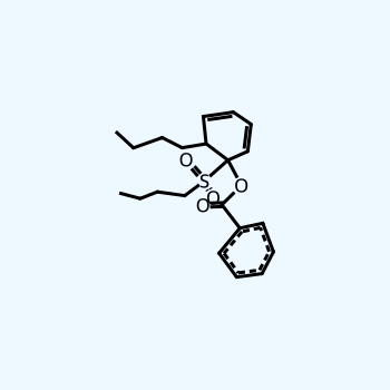 CCCCC1C=CC=CC1(OC(=O)c1ccccc1)S(=O)(=O)CCCC